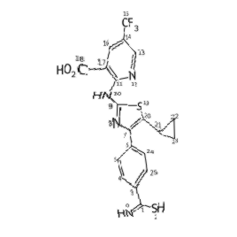 N=C(S)c1ccc(-c2nc(Nc3ncc(C(F)(F)F)cc3C(=O)O)sc2C2CC2)cc1